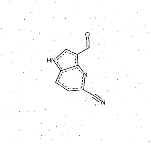 N#Cc1ccc2[nH]cc(C=O)c2n1